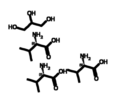 CC(C)[C@H](N)C(=O)O.CC(C)[C@H](N)C(=O)O.CC(C)[C@H](N)C(=O)O.OCC(O)CO